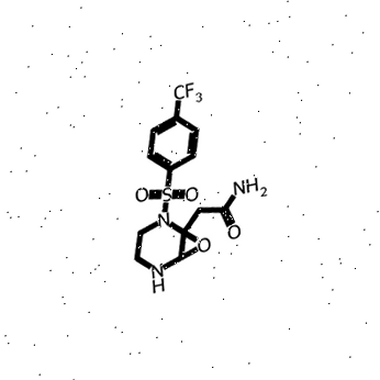 NC(=O)CC12OC1NCCN2S(=O)(=O)c1ccc(C(F)(F)F)cc1